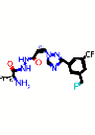 CC(C)[C@H](N)C(=O)NNC(=O)/C=C\n1cnc(-c2cc(CF)cc(C(F)(F)F)c2)n1